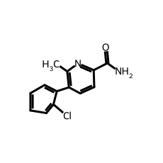 Cc1nc(C(N)=O)ccc1-c1ccccc1Cl